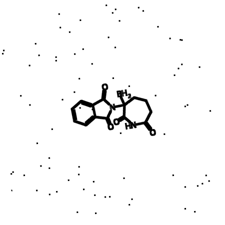 BC1(N2C(=O)c3ccccc3C2=O)CCCC(=O)NC1=O